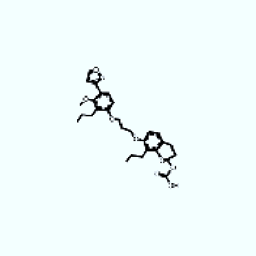 CCCc1c(OCCCOc2ccc(-c3ccon3)c(OC)c2CCC)ccc2c1OC(OC(=O)O)CC2